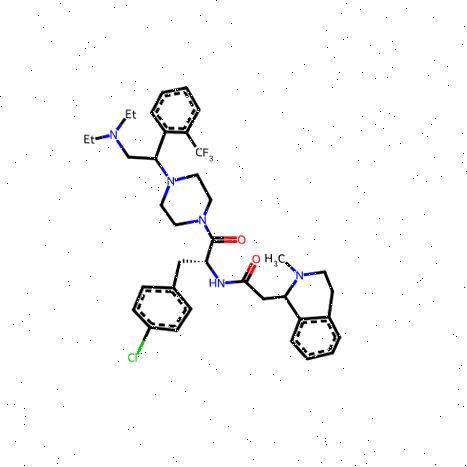 CCN(CC)CC(c1ccccc1C(F)(F)F)N1CCN(C(=O)[C@@H](Cc2ccc(Cl)cc2)NC(=O)CC2c3ccccc3CCN2C)CC1